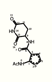 CC(=O)Nc1sccc1C(=O)NC1CCC(=O)NC1=O